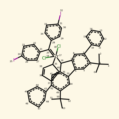 CC(C)(C)c1cc2c(cc1-c1ccccc1)[CH]([Zr]([Cl])([Cl])(=[C](c1ccc(I)cc1)c1ccc(I)cc1)[CH]1C=CC=C1)c1cc(-c3ccccc3)c(C(C)(C)C)cc1-2